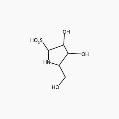 O=S(=O)(O)C1NC(CO)C(O)C1O